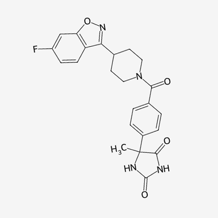 CC1(c2ccc(C(=O)N3CCC(c4noc5cc(F)ccc45)CC3)cc2)NC(=O)NC1=O